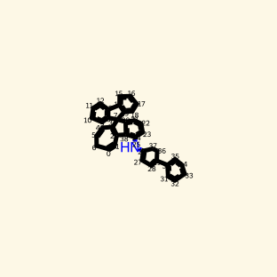 C1#CC2=C(C=CC1)C1(c3ccccc3-c3ccccc31)c1cccc(NC3=CC=C(c4ccccc4)CC3)c12